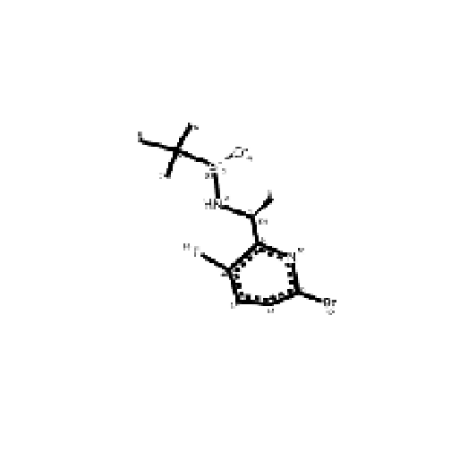 C[C@H](N[S@@+]([O-])C(C)(C)C)c1nc(Br)ccc1F